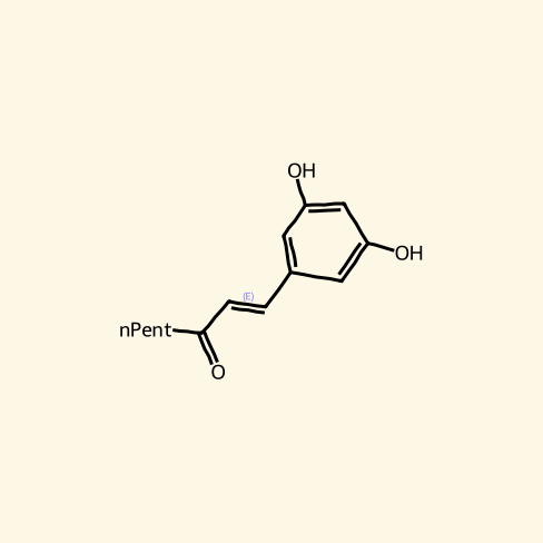 CCCCCC(=O)/C=C/c1cc(O)cc(O)c1